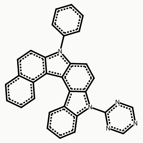 c1ccc(-n2c3ccc4ccccc4c3c3c4c5ccccc5n(-c5ncncn5)c4ccc32)cc1